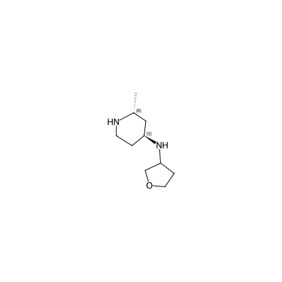 C[C@@H]1C[C@@H](NC2CCOC2)CCN1